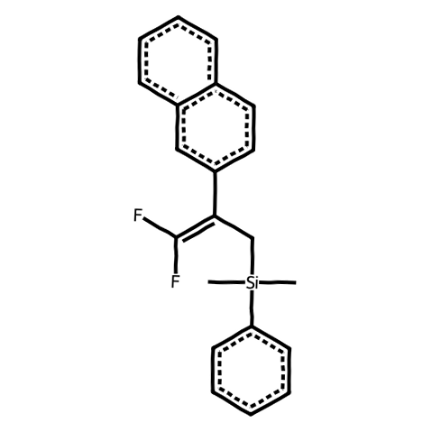 C[Si](C)(CC(=C(F)F)c1ccc2ccccc2c1)c1ccccc1